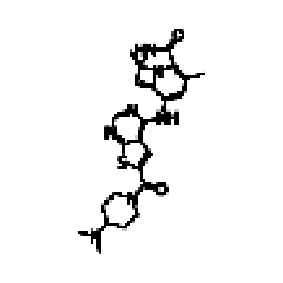 CC1=C2C(=O)NC3(C)C=C(C(Nc4ncnc5sc(C(=O)N6CCC(N(C)C)CC6)cc45)=C1)N23